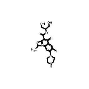 CC1Sc2c(C(=O)OC(CO)CO)c(=O)c3cc(F)c(N4CCNCC4)cc3n21